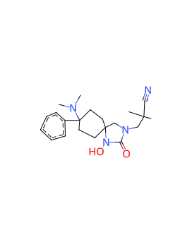 CN(C)C1(c2ccccc2)CCC2(CC1)CN(CC(C)(C)C#N)C(=O)N2O